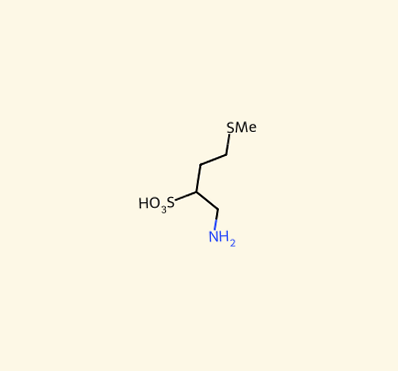 CSCCC(CN)S(=O)(=O)O